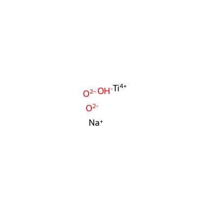 [Na+].[O-2].[O-2].[OH-].[Ti+4]